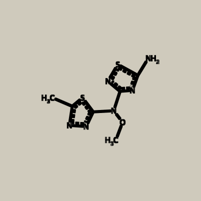 CON(c1nsc(N)n1)c1nnc(C)s1